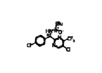 CC(C)(C)[S@@+]([O-])N[C@H](c1ccc(Cl)cc1)c1ncc(Cl)c(C(F)(F)F)n1